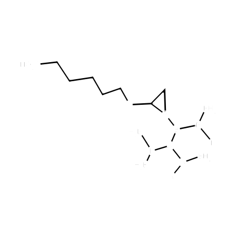 BB(B)B(B(B)B)B(B(B)B)B1CC1SCCCCCC(=O)O